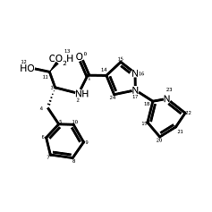 O=C(N[C@H](Cc1ccccc1)[C@@H](O)C(=O)O)c1cnn(-c2ccccn2)c1